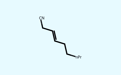 CCCCCC=CCC#N